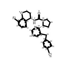 O=C(N[C@H]1CCOc2c(F)cccc21)N1CCC[C@@H]1c1ncncc1Cc1ccc(Cl)cc1